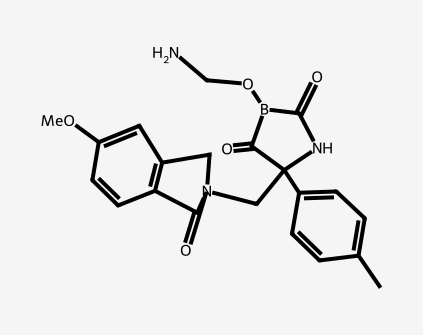 COc1ccc2c(c1)CN(CC1(c3ccc(C)cc3)NC(=O)B(OCN)C1=O)C2=O